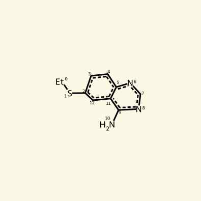 CCSc1ccc2ncnc(N)c2c1